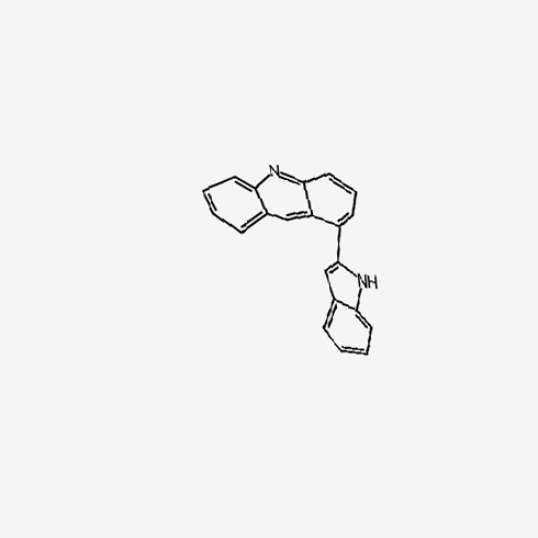 c1ccc2nc3cccc(-c4cc5ccccc5[nH]4)c3cc2c1